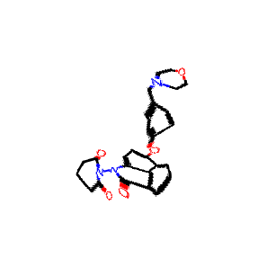 O=C1CCCC(=O)N1N1C(=O)c2cccc3c(Oc4ccc(CN5CCOCC5)cc4)ccc1c23